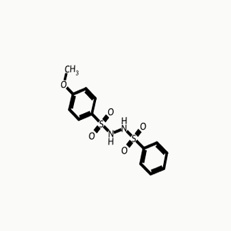 COc1ccc(S(=O)(=O)NNS(=O)(=O)c2ccccc2)cc1